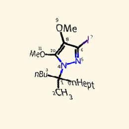 CCCCCCCC(C)(CCCC)n1nc(I)c(OC)c1OC